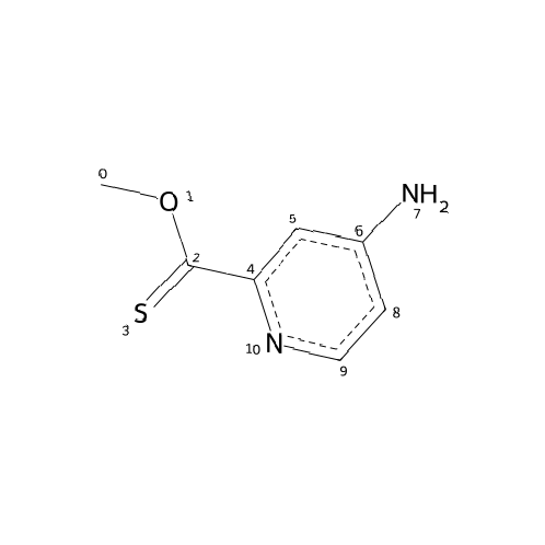 COC(=S)c1cc(N)ccn1